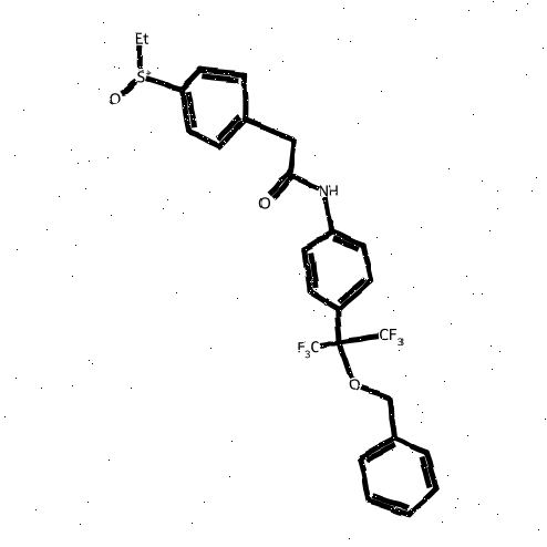 CC[S+]([O-])c1ccc(CC(=O)Nc2ccc(C(OCc3ccccc3)(C(F)(F)F)C(F)(F)F)cc2)cc1